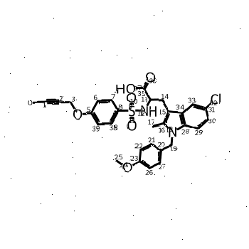 CC#CCOc1ccc(S(=O)(=O)NC(Cc2c(C)n(Cc3ccc(OC)cc3)c3ccc(Cl)cc23)C(=O)O)cc1